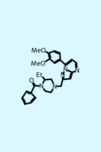 CCC1CN(Cc2cc3nccc(-c4ccc(OC)c(OC)c4)n3n2)CCN1C(=O)c1ccccc1